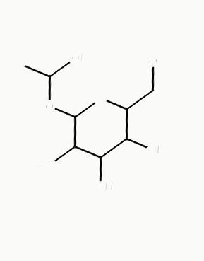 CC(O)OC1OC(CO)C(O)C(O)C1O